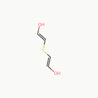 OC=CSC=CO